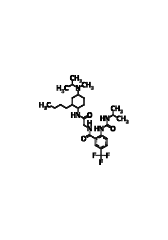 CCCCC1CC(N(C)C(C)C)CCC1NC(=O)CNC(=O)c1cc(C(F)(F)F)ccc1NC(=O)NC(C)C